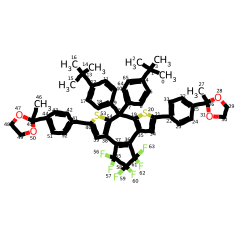 CC(C)(C)c1ccc(C2(c3ccc(C(C)(C)C)cc3)c3sc(-c4ccc(C5(C)OCCO5)cc4)cc3C3=C(c4cc(-c5ccc(C6(C)OCCO6)cc5)sc42)C(F)(F)C(F)(F)C3(F)F)cc1